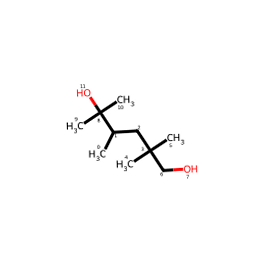 CC(CC(C)(C)CO)C(C)(C)O